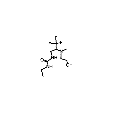 CCNC(=O)NCC(N(C)CCO)C(F)(F)F